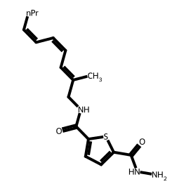 CCC\C=C/C=C\C=C(/C)CNC(=O)c1ccc(C(=O)NN)s1